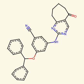 N#Cc1cc(Nc2ncc3c(n2)CCCCC3=O)cc(OC(c2ccccc2)c2ccccc2)c1